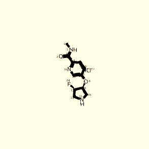 CNC(=O)c1ccc(O[C@H]2CNC[C@H]2F)cn1.Cl